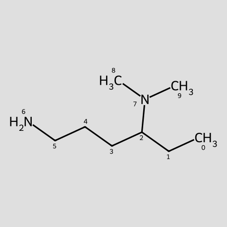 CCC(CCCN)N(C)C